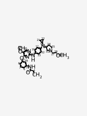 C=CC(=O)Nc1cccc(Oc2nc(Nc3ccc(N(C4CC4)C4CCN(CCOC)C4)cc3)ncc2OC)c1